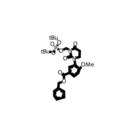 COc1ccc(C(=O)OCc2ccccc2)cc1N1CCC(=O)N(COP(=O)(OC(C)(C)C)OC(C)(C)C)C1=O